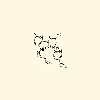 CCC(CNc1ccc(C(F)(F)F)cn1)N(C)C(=O)c1nc(C)ccc1N/N=C\C=N